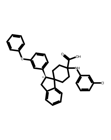 O=C(O)C1(Nc2cccc(Cl)c2)CCC2(CC1)c1ccccc1C[C@H]2c1cccc(Oc2ccccc2)c1